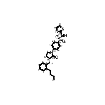 CCCCc1ccccc1C[C@@H]1CCN(c2ccc(S(=O)(=O)Nc3nccs3)cc2)C1=O